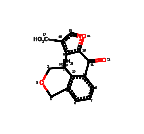 C[C@@]12COCc3cccc(c31)C(=O)c1occ(C(=O)O)c12